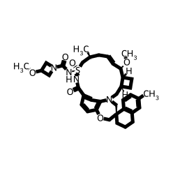 COC1CN(C(=O)N[S@@]2(=O)=NC(=O)c3ccc4c(c3)N(C[C@@H]3CC[C@H]3[C@@H](OC)/C=C/C[C@H](C)C2)C[C@@]2(CCCc3cc(C)ccc32)CO4)C1